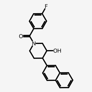 O=C(c1ccc(F)cc1)N1CCC(c2ccc3ccccc3c2)C(O)C1